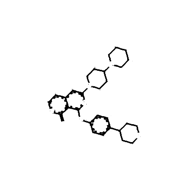 O=c1[nH]ccc2cc(N3CCC(N4CCCCC4)CC3)nc(Nc3ccc(C4CCNCC4)cc3)c12